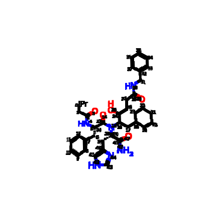 CC(C)CC(=O)N[C@@H](Cc1ccccc1)C(=O)N(C(CC1CCCCC1)C(O)CCC(=O)NCc1ccccc1)[C@@H](Cc1c[nH]cn1)C(N)=O